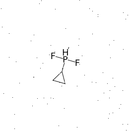 C[PH](F)(F)C1CC1